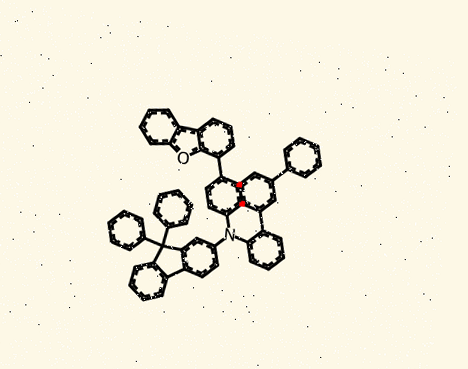 c1ccc(-c2cccc(-c3ccccc3N(c3ccc(-c4cccc5c4oc4ccccc45)cc3)c3ccc4c(c3)C(c3ccccc3)(c3ccccc3)c3ccccc3-4)c2)cc1